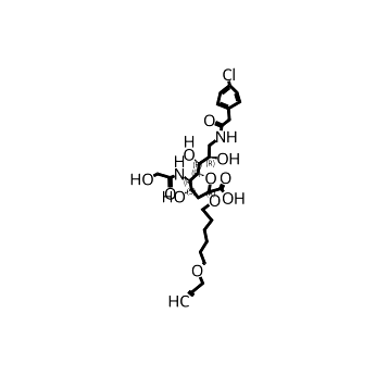 C#CCOCCCCCCO[C@]1(C(=O)O)C[C@H](O)[C@@H](NC(=O)CO)[C@H]([C@H](O)[C@H](O)CNC(=O)Cc2ccc(Cl)cc2)O1